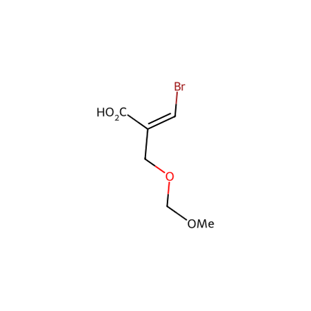 COCOCC(=CBr)C(=O)O